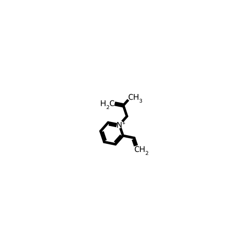 C=Cc1cccc[n+]1CC(=C)C